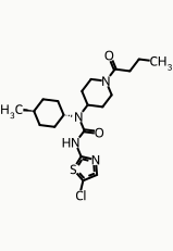 CCCC(=O)N1CCC(N(C(=O)Nc2ncc(Cl)s2)[C@H]2CC[C@H](C)CC2)CC1